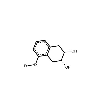 CCOc1cccc2c1C[C@@H](O)[C@@H](O)C2